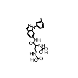 Cc1cccc(-n2ncc3ccc(NC(=O)C(CCNC(=O)O)NC(=O)O)cc32)c1